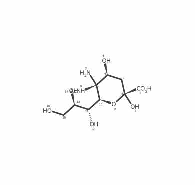 CC(=O)N[C@@]1(N)[C@@H](O)C[C@@](O)(C(=O)O)O[C@H]1[C@H](O)[C@H](O)CO